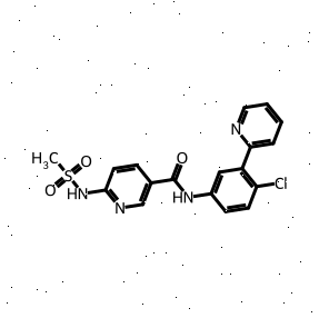 CS(=O)(=O)Nc1ccc(C(=O)Nc2ccc(Cl)c(-c3ccccn3)c2)cn1